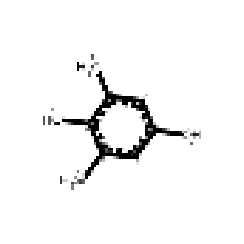 Cc1cc(O)cc([SiH3])c1O